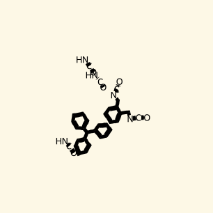 N=C=O.N=C=O.N=C=O.O=C=NCc1ccccc1CN=C=O.c1ccc(C(c2ccccc2)c2ccccc2)cc1